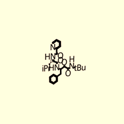 CC(C)C[C@H](NC(=O)c1ccccn1)C(=O)NC(Cc1ccccc1)C(=O)C(=O)NC(C)(C)C